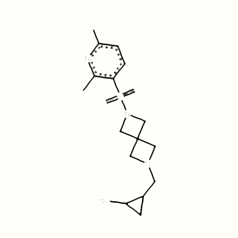 Cc1nc(C(F)(F)F)ccc1S(=O)(=O)N1CC2(CN(CC3CC3C#N)C2)C1